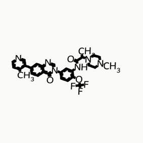 Cc1ccncc1-c1ccc2c(=O)n(-c3ccc(OC(F)(F)F)c(NC(=O)C(C)N4CCN(C)CC4)c3)cnc2c1